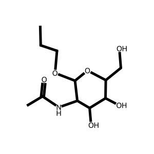 CCCOC1OC(CO)C(O)C(O)C1NC(C)=O